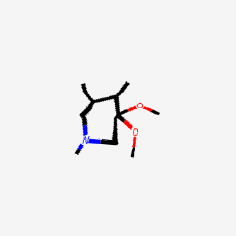 COC1(OC)CN(C)CC(C)C1C